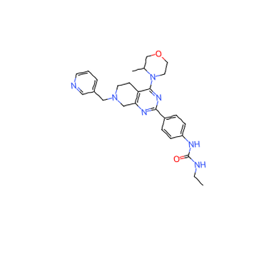 CCNC(=O)Nc1ccc(-c2nc3c(c(N4CCOCC4C)n2)CCN(Cc2cccnc2)C3)cc1